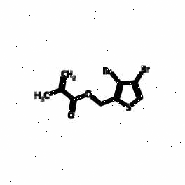 C=C(C)C(=O)OCc1scc(Br)c1Br